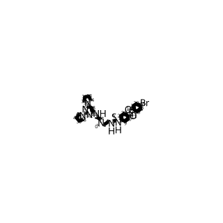 CN(CCNC(=S)Nc1ccc(S(=O)(=O)c2ccc(Br)cc2)cc1)CCNc1cc(N2CCCC2)nc(N2CCCC2)n1